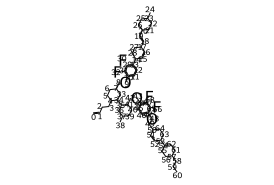 C=CCCC1CCC(COc2ccc(C3C=CC(/C=C/C4CCC(C)CC4)CC3)c(F)c2F)CC1C1CC(C)CCC1COc1ccc(OCC2C=CC(C3CCC(CCC)CC3)CC2)c(F)c1F